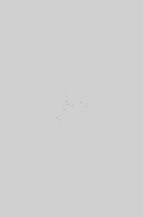 CC1(C)c2ccccc2-c2ccc(N(c3ccc(-c4ccc5c(c4)c(-c4ccccc4)c(-c4ccccc4)n5-c4ccccc4)cc3)c3ccc(-c4ccc5c(c4)c(-c4ccccc4)c(-c4ccccc4)n5-c4ccccc4)cc3)cc21